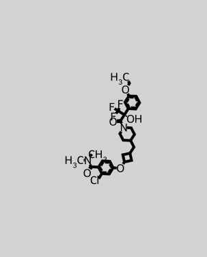 CCOc1cccc([C@@](O)(C(=O)N2CCC(CC3CC(Oc4ccc(C(=O)N(C)C)c(Cl)c4)C3)CC2)C(F)(F)F)c1